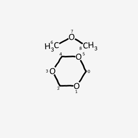 C1OCOCO1.COC